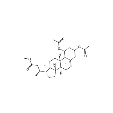 COC(=O)C[C@H](C)[C@H]1CC[C@H]2[C@@H]3CC=C4CC(OC(C)=O)CC(OC(C)=O)[C@]4(C)[C@H]3CC[C@]12C